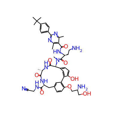 Cc1nc(-c2ccc(C(C)(C)C)cc2)nc(C)c1C(=O)N[C@@H](CCN)C(=O)N(C)[C@@H]1C(=O)N[C@@H](C)C(=O)N[C@H](C(=O)NCC#N)Cc2ccc(OC[C@H](N)CO)c(c2)-c2cc1ccc2O